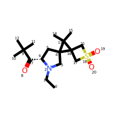 CCN1CC2(C[C@H]1C(=O)C(C)(C)C)C(C)(C)C21CS(=O)(=O)C1